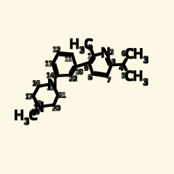 Cc1nc(C(C)C)ccc1-c1cccc(N2CCN(C)CC2)c1